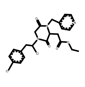 CCOC(=O)CC1C(=O)N(C(Cl)Cc2ccc(Cl)cc2)CC(=O)N1Cc1ccncc1